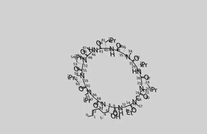 C/C=C/C[C@@H](C)[C@@H](O)[C@H]1C(=O)N[C@@H](CC)C(=O)N(C)CC(=O)N(C)[C@@H](CC(C)C)C(=O)N[C@@H](C(C)C)C(=O)N(C)[C@@H](C)C(=O)N[C@@H](CC(C)C)C(=O)N[C@H](C)C(=O)N(C)[C@@H](CC(C)C)C(=O)N(C)[C@@H](CC(C)C)C(=O)N(C)[C@@H](C(C)C)C(=O)N1C